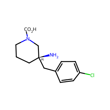 N[C@@]1(Cc2ccc(Cl)cc2)CCCN(C(=O)O)C1